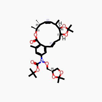 Cc1cc(N(OC[C@H]2COC(C)(C)O2)C(=O)OC(C)(C)C)cc2c1C(=O)O[C@@H](C)[C@H](C)/C=C\C(C)[C@H]1OC(C)(C)O[C@H]1C/C=C/2